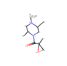 CC1CN(C(=O)C2(C)CO2)C(C)CN1C(=O)O